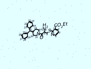 CCOC(=O)c1cccnc1SCC(N)C(=O)N1CCC(C(c2ccccc2)c2ccccc2)CC1